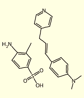 CN(C)c1ccc(C=CCc2ccncc2)cc1.Cc1cc(S(=O)(=O)O)ccc1N